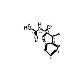 CC(c1ccccc1)S(=O)(=O)NC(=O)O